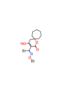 CCON=C(CC)C1=C(O)CC2(CCCCCC2)OC1=O